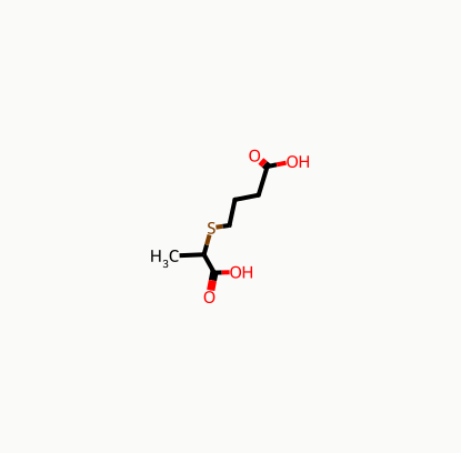 CC(SCCCC(=O)O)C(=O)O